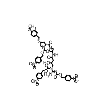 COc1ccc(CS[C@H]2C[C@@H](C(=O)N3CC(NC(=O)CC(O)CN(C(=O)OCc4ccc([N+](=O)[O-])cc4)C(N)=NC(=O)OCc4ccc([N+](=O)[O-])cc4)C3)N(C(=O)OCc3ccc([N+](=O)[O-])cc3)C2)cc1